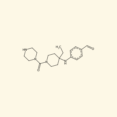 CCC1(Nc2ccc(C=O)cc2)CCN(C(=O)N2CCNCC2)CC1